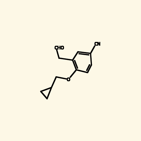 N#Cc1ccc(OCC2CC2)c(CC=O)c1